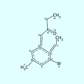 C/C=c1/c(Br)cc(C)c/c1=C/C(=O)CC